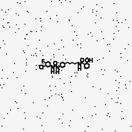 O=C(Nc1ccc(CCCCCNC(=O)c2ccccc2O)cc1)Nc1ccc(F)c(Cl)c1